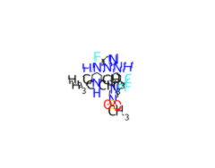 CC1(C)CC(Nc2nc(Nc3ccc(N4CCN(S(C)(=O)=O)CC4)c(C(F)(F)F)c3)ncc2F)CC(C)(C)N1